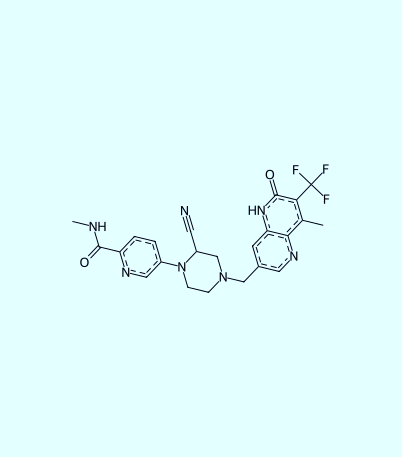 CNC(=O)c1ccc(N2CCN(Cc3cnc4c(C)c(C(F)(F)F)c(=O)[nH]c4c3)CC2C#N)cn1